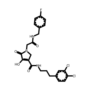 O=C(CN1CC(C(=O)NCCCc2ccc(Cl)c(Cl)c2)=C(O)C1=O)NCc1ccc(F)cc1